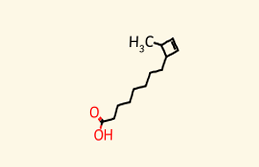 CC1C=CC1CCCCCCCC(=O)O